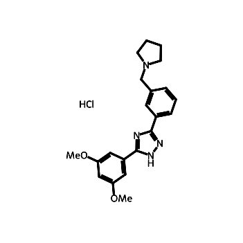 COc1cc(OC)cc(-c2nc(-c3cccc(CN4CCCC4)c3)n[nH]2)c1.Cl